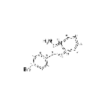 Nc1c(-c2ccc(Br)cc2)cc2ccccn12